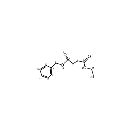 O=C(CCC(=O)OCc1ccccc1)OCI